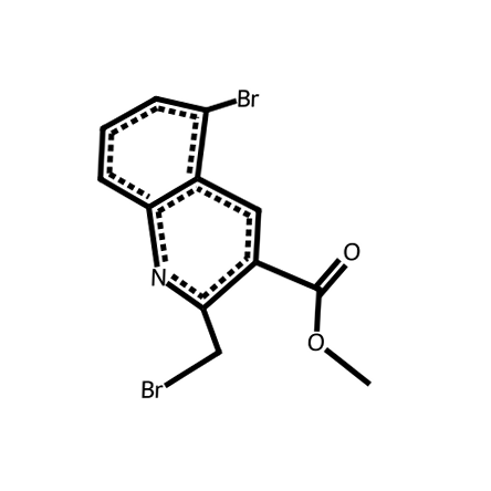 COC(=O)c1cc2c(Br)cccc2nc1CBr